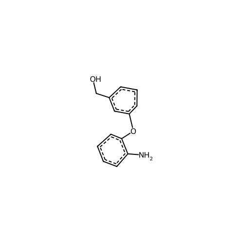 Nc1ccccc1Oc1cccc(CO)c1